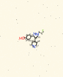 Oc1ccc(-c2nn(CCF)cc2-c2ccncc2)cc1